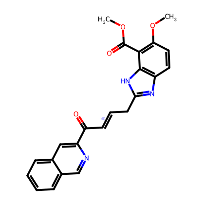 COC(=O)c1c(OC)ccc2nc(C/C=C/C(=O)c3cc4ccccc4cn3)[nH]c12